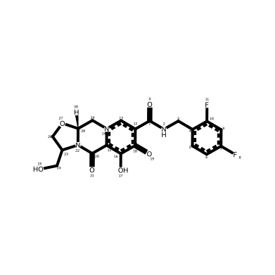 O=C(NCc1ccc(F)cc1F)c1cn2c(c(O)c1=O)C(=O)N1C(CO)CO[C@@H]1C2